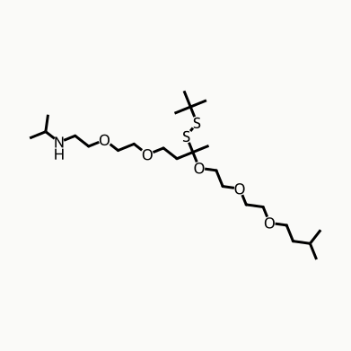 CC(C)CCOCCOCCOC(C)(CCOCCOCCNC(C)C)SSC(C)(C)C